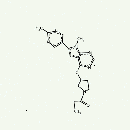 CCC(=O)N1CCC(Oc2ncnc3c2nc(-c2cnc(C)nc2)n3C)C1